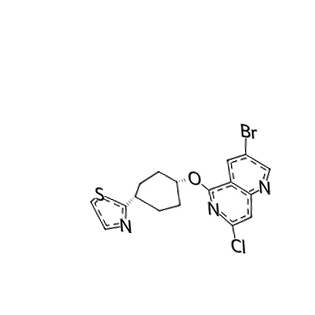 Clc1cc2ncc(Br)cc2c(O[C@H]2CC[C@@H](c3nccs3)CC2)n1